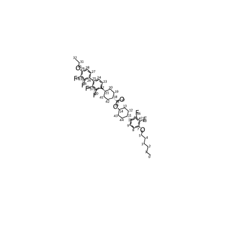 CCCCCCOc1ccc([C@H]2CC[C@H](OC(=O)[C@H]3CC[C@H](c4ccc(-c5ccc(OCC)c(F)c5F)c(F)c4F)CC3)CC2)c(F)c1F